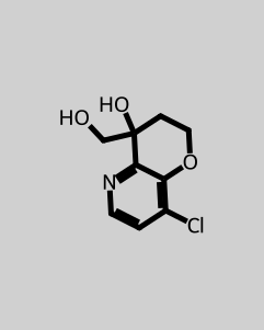 OCC1(O)CCOc2c(Cl)ccnc21